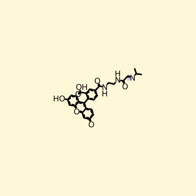 CC(C)/N=C/C(=O)NCCNC(=O)c1ccc(-c2c3ccc(=O)cc-3oc3cc(O)ccc23)c(C(=O)O)c1